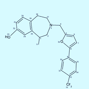 CC1CN(Cc2ccc(-c3ccc(C(F)(F)F)cc3)o2)CCc2ccc(O)cc21